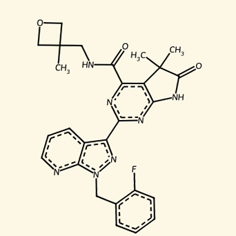 CC1(CNC(=O)c2nc(-c3nn(Cc4ccccc4F)c4ncccc34)nc3c2C(C)(C)C(=O)N3)COC1